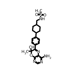 CC1(C)Oc2ncnc(N)c2N=C1c1ccc(C2CCC(CNS(C)(=O)=O)CC2)cc1